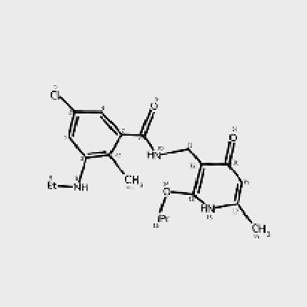 CCNc1cc(Cl)cc(C(=O)NCc2c(OC(C)C)[nH]c(C)cc2=O)c1C